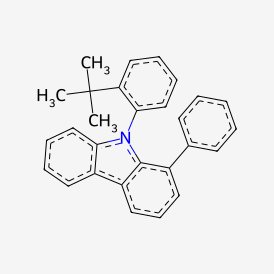 CC(C)(C)c1ccccc1-n1c2ccccc2c2cccc(-c3ccccc3)c21